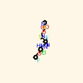 O=S(=O)(CCOCc1nc(-c2cc3c(Nc4ccc(OCc5cccc(F)c5)c(Cl)c4)ncnc3cc2F)cs1)c1ccccn1